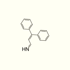 N=CC=C(c1ccccc1)c1ccccc1